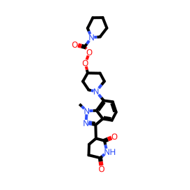 Cn1nc(C2CCC(=O)NC2=O)c2cccc(N3CCC(OOC(=O)N4CCCCC4)CC3)c21